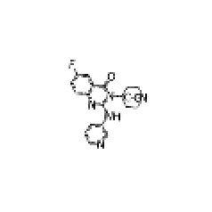 O=c1c2cc(F)ccc2nc(Nc2cccnc2)n1C12CCN(CC1)CC2